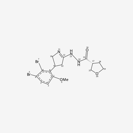 COc1ccc(Br)c(Br)c1C1CN=C(NNC(=O)[C@@H]2CCOC2)C1